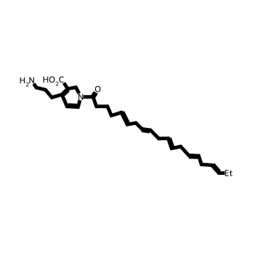 CCC=CCC=CCC=CCC=CCC=CCCCC(=O)N1C=CC(CCCN)=C(C(=O)O)C1